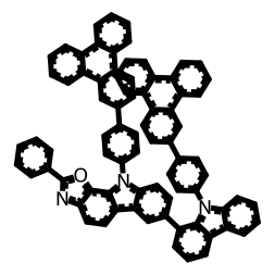 c1ccc(-c2nc3ccc4c5cc(-c6cccc7c8ccccc8n(-c8ccc(-c9ccc%10c%11ccccc%11c%11ccccc%11c%10c9)cc8)c67)ccc5n(-c5ccc(-c6ccc7c8ccccc8c8ccccc8c7c6)cc5)c4c3o2)cc1